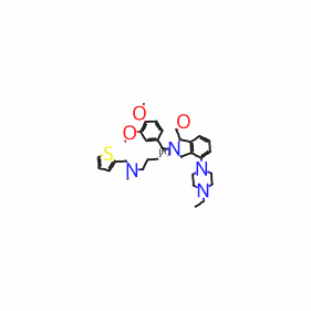 CCN1CCN(c2cccc3c2CN([C@H](CCCN(C)Cc2cccs2)c2ccc(OC)c(OC)c2)C3C=O)CC1